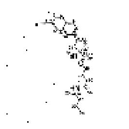 C#Cc1cnc2ccc(C3=NOC(OC)(C(=O)OCCCC(C)NC(C)CC[CH2])C3)cc2c1